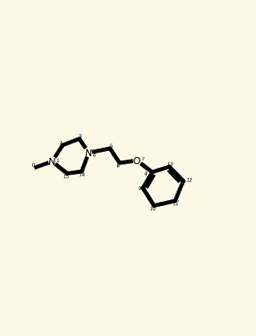 CN1CCN(CCOC2=CC[CH]C=C2)CC1